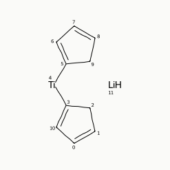 C1=CC[C]([Ti][C]2=CC=CC2)=C1.[LiH]